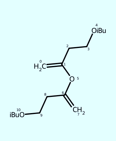 C=C(CCOCC(C)C)OC(=C)CCOCC(C)C